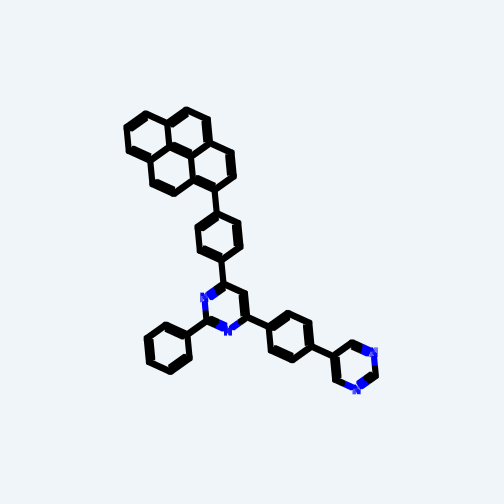 c1ccc(-c2nc(-c3ccc(-c4cncnc4)cc3)cc(-c3ccc(-c4ccc5ccc6cccc7ccc4c5c67)cc3)n2)cc1